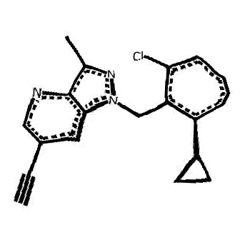 C#Cc1cnc2c(C)nn(Cc3c(Cl)cccc3C3CC3)c2c1